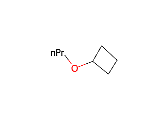 [CH2]CCOC1CCC1